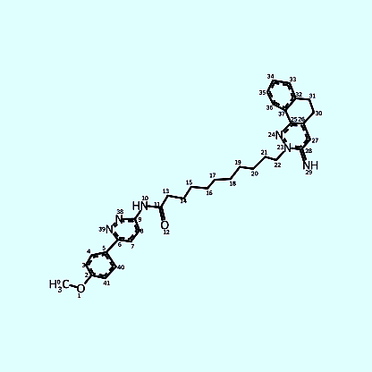 COc1ccc(-c2ccc(NC(=O)CCCCCCCCCCn3nc4c(cc3=N)CCc3ccccc3-4)nn2)cc1